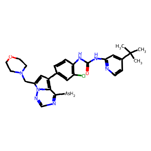 CC(C)(C)c1ccnc(NC(=O)Nc2ccc(-c3cc(CN4CCOCC4)n4ncnc([AsH2])c34)cc2Cl)c1